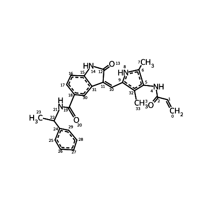 C=CC(=O)Nc1c(C)[nH]c(C=C2C(=O)Nc3ccc(C(=O)NC(C)c4ccccc4)cc32)c1C